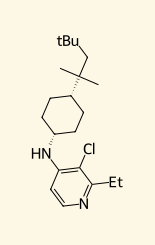 CCc1nccc(N[C@H]2CC[C@@H](C(C)(C)CC(C)(C)C)CC2)c1Cl